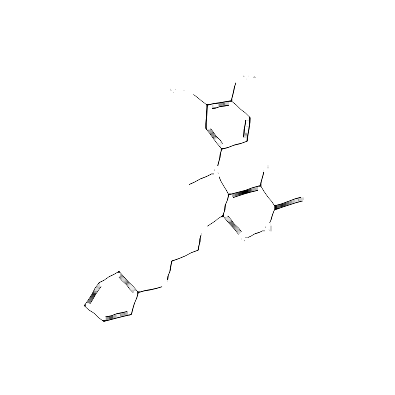 COc1ccc(N(C)c2c(OCCSc3ccccc3)n[nH]c(=O)c2Br)cc1OC